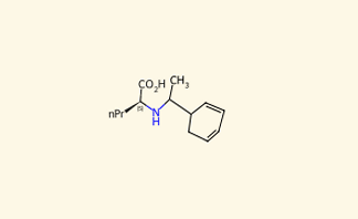 CCC[C@H](NC(C)C1C=CC=CC1)C(=O)O